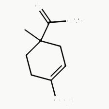 COC(=O)C1(C)CC=C(C(=O)O)CC1